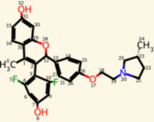 CC1=C(c2c(F)cc(O)cc2F)C(c2ccc(OCCN3CC[C@@H](C)C3)cc2)Oc2cc(O)ccc21